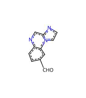 O=Cc1ccc2ncc3nccn3c2c1